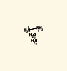 NN.O.S